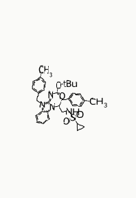 Cc1ccc(CC(CNS(=O)(=O)C2CC2)n2c(=NC(=O)OC(C)(C)C)n(Cc3ccc(C)cc3)c3ccccc32)cc1